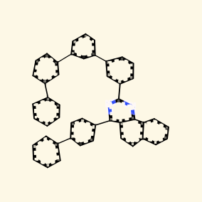 c1ccc(-c2ccc(-c3nc(-c4cccc(-c5cccc(-c6cccc(-c7ccccc7)c6)c5)c4)nc4c3ccc3ccccc34)cc2)cc1